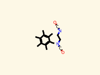 Cc1c(C)c(C)c(C)c(C)c1C.O=C=NCCN=C=O